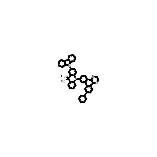 CC1(C)c2ccccc2N(c2ccc3c(c2)c2cc(-c4ccccc4)ccc2c2nccnc32)c2ccc(-n3c4ccccc4c4ccccc43)cc21